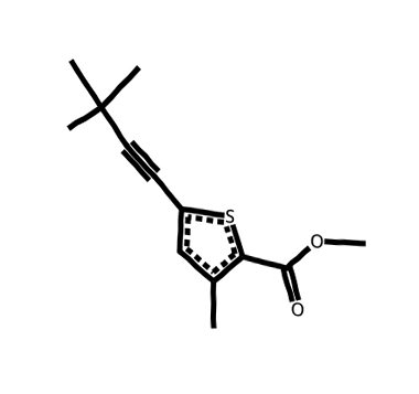 COC(=O)c1sc(C#CC(C)(C)C)cc1C